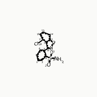 NS(=O)(=O)c1ccccc1-c1noc2cccc(Cl)c12